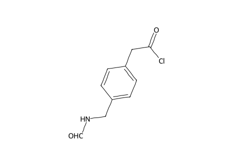 O=CNCc1ccc(CC(=O)Cl)cc1